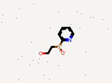 [O]CC[S+]([O-])c1ccccn1